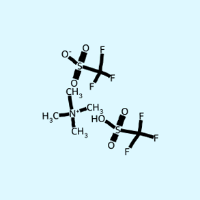 C[N+](C)(C)C.O=S(=O)(O)C(F)(F)F.O=S(=O)([O-])C(F)(F)F